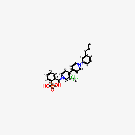 CCCc1cccc(-[n+]2ccc(-c3cc[n+](Cc4ccccc4P(=O)(O)O)cc3)cc2)c1.[Cl-].[Cl-]